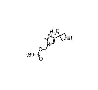 CC(C)(C)C(=O)OCn1cc(C2(C)CNC2)nn1